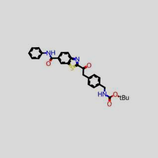 CC(C)(C)OC(=O)NCc1ccc(CC(=O)c2nc3ccc(C(=O)Nc4ccccc4)cc3s2)cc1